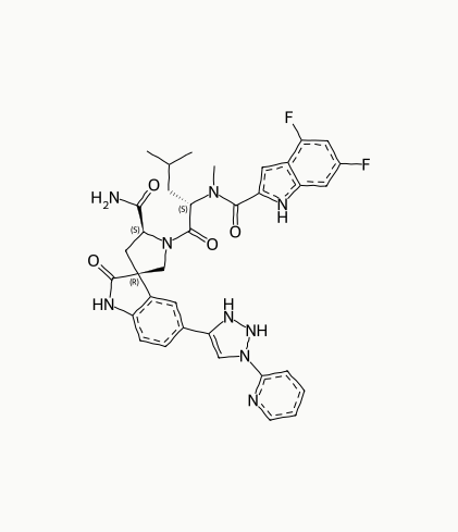 CC(C)C[C@@H](C(=O)N1C[C@]2(C[C@H]1C(N)=O)C(=O)Nc1ccc(C3=CN(c4ccccn4)NN3)cc12)N(C)C(=O)c1cc2c(F)cc(F)cc2[nH]1